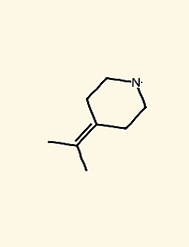 CC(C)=C1CC[N]CC1